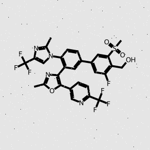 Cc1nc(-c2cc(-c3cc(F)c(CO)c(S(C)(=O)=O)c3)ccc2-n2cc(C(F)(F)F)nc2C)c(-c2ccc(C(F)(F)F)nc2)o1